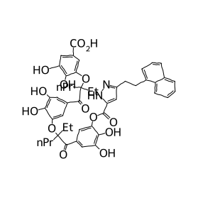 CCCC(CC)(Oc1cc(C(=O)O)cc(O)c1O)C(=O)c1cc(O)c(O)c(OC(CC)(CCC)C(=O)c2cc(O)c(O)c(OC(=O)c3cc(CCc4cccc5ccccc45)n[nH]3)c2)c1